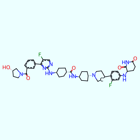 O=C1CCC(Nc2ccc(C3CCN([C@H]4CC[C@H](NC(=O)[C@H]5CC[C@H](Nc6ncc(F)c(-c7cccc(C(=O)N8CC[C@H](O)C8)c7)n6)CC5)CC4)CC3)c(F)c2)C(=O)N1